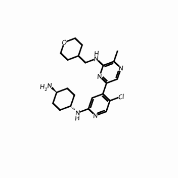 Cc1ncc(-c2cc(N[C@H]3CC[C@H](N)CC3)ncc2Cl)nc1NCC1CCOCC1